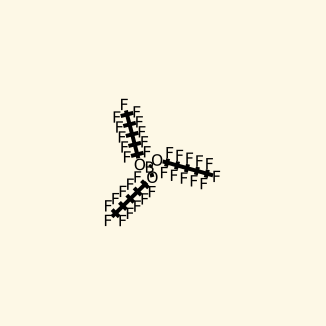 FC(F)(F)C(F)(F)C(F)(F)C(F)(F)C(F)(F)OB(OC(F)(F)C(F)(F)C(F)(F)C(F)(F)C(F)(F)F)OC(F)(F)C(F)(F)C(F)(F)C(F)(F)C(F)(F)F